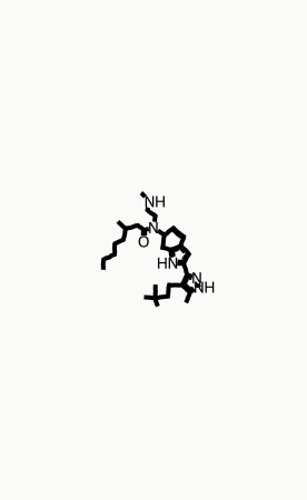 CCCCCC(C)CC(=O)N(CCNC)C1C=Cc2cc(-c3n[nH]c(C)c3CCC(C)(C)C)[nH]c2C1